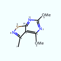 COc1nc(OC)c2c(C)nsc2n1